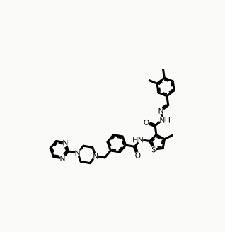 Cc1ccc(C=NNC(=O)c2c(C)csc2NC(=O)c2cccc(CN3CCN(c4ncccn4)CC3)c2)cc1C